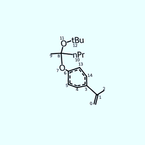 C=C(C)c1ccc(OC(C)(CCC)OC(C)(C)C)cc1